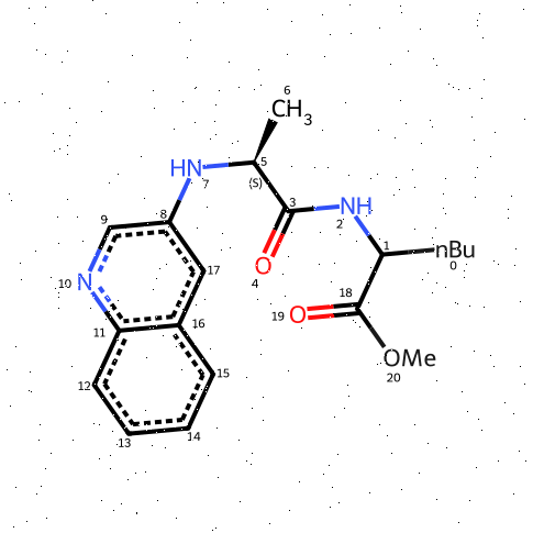 CCCCC(NC(=O)[C@H](C)Nc1cnc2ccccc2c1)C(=O)OC